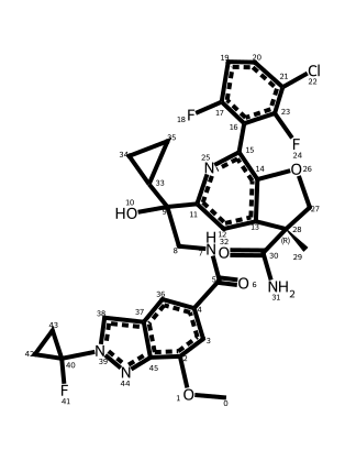 COc1cc(C(=O)NCC(O)(c2cc3c(c(-c4c(F)ccc(Cl)c4F)n2)OC[C@]3(C)C(N)=O)C2CC2)cc2cn(C3(F)CC3)nc12